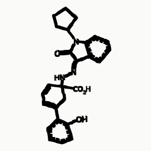 O=C1C(=NNC2(C(=O)O)C=CC=C(c3ccccc3O)C2)c2ccccc2N1C1CCCC1